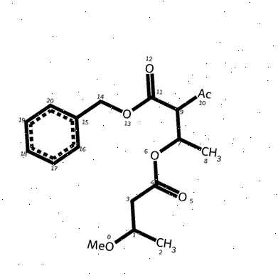 COC(C)CC(=O)OC(C)C(C(C)=O)C(=O)OCc1ccccc1